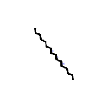 [CH2]CCCCC/C=C/C=C/C=C/CCCC